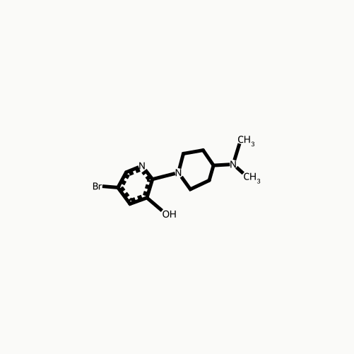 CN(C)C1CCN(c2ncc(Br)cc2O)CC1